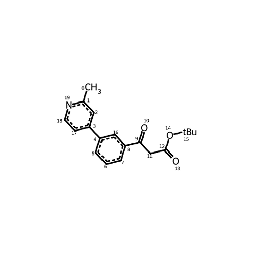 Cc1cc(-c2cccc(C(=O)CC(=O)OC(C)(C)C)c2)ccn1